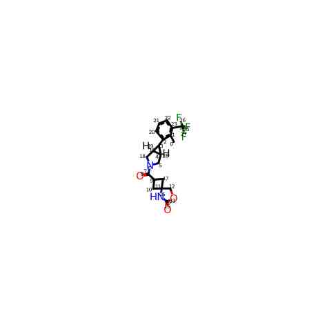 Cc1c(C2[C@H]3CN(C(=O)C4CC5(COC(=O)N5)C4)C[C@@H]23)cccc1C(F)(F)F